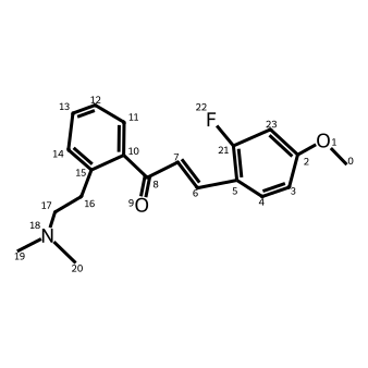 COc1ccc(C=CC(=O)c2ccccc2CCN(C)C)c(F)c1